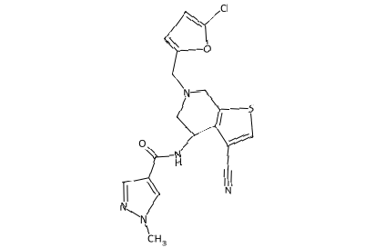 Cn1cc(C(=O)NC2CN(Cc3ccc(Cl)o3)Cc3scc(C#N)c32)cn1